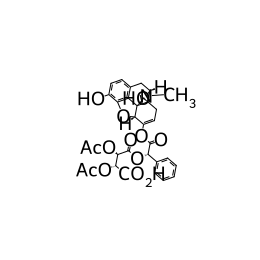 CC(=O)O[C@@H](C(=O)O)[C@@H](OC(C)=O)C(=O)O[C@H](C(=O)OC1=CC[C@@]2(O)[C@H]3Cc4ccc(O)c5c4[C@@]2(CCN3C)[C@H]1O5)c1ccccc1